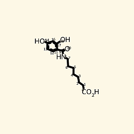 O=C(O)CCCCCCCNC(=O)c1ccc(O)cc1O